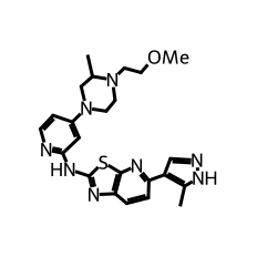 COCCN1CCN(c2ccnc(Nc3nc4ccc(-c5cn[nH]c5C)nc4s3)c2)CC1C